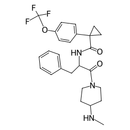 CNC1CCN(C(=O)C(Cc2ccccc2)NC(=O)C2(c3ccc(OC(F)(F)F)cc3)CC2)CC1